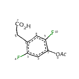 CC(=O)Oc1cc(F)c(CC(=O)O)cc1F